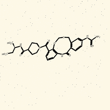 N=C(N)Nc1ccc2c(c1)CCCOc1c(cccc1C(=O)N1CCC(C(=O)N[C@@H](CC(=O)O)C(=O)O)CC1)NC2=O